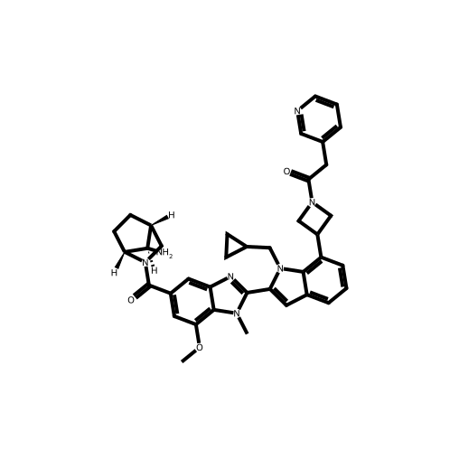 COc1cc(C(=O)N2C[C@H]3CC[C@@H]2[C@@H]3N)cc2nc(-c3cc4cccc(C5CN(C(=O)Cc6cccnc6)C5)c4n3CC3CC3)n(C)c12